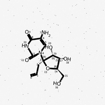 C=CC[C@@]1(n2cc(N)c(=O)[nH]c2=O)O[C@H](CO)[C@@H](O)[C@H]1O